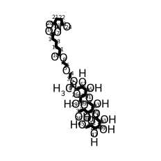 CN(OCCOCCOC(=O)CCCCC(=O)ON1C(=O)CCC1=O)C1OC(CO)C(OC2OC(CO)C(O)C(OC3OC(CO)C(O)C(O)C3O)C2O)C(O)C1O